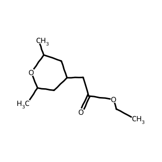 CCOC(=O)CC1CC(C)OC(C)C1